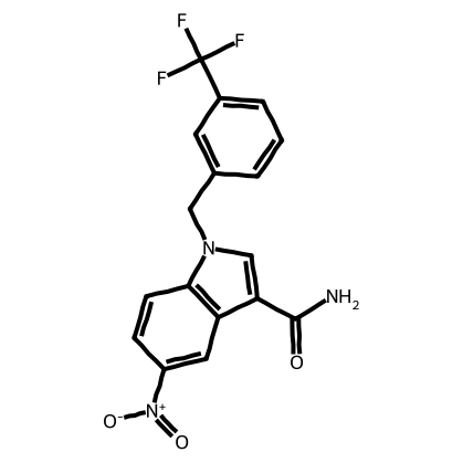 NC(=O)c1cn(Cc2cccc(C(F)(F)F)c2)c2ccc([N+](=O)[O-])cc12